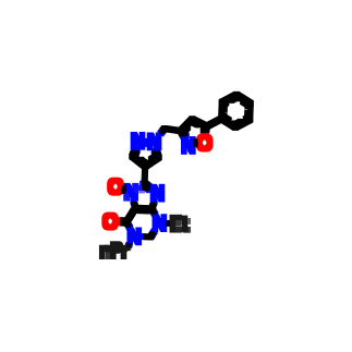 CCCN1CN(CC)C2=C(C1=O)[N+](=O)C(c1cnn(Cc3cc(-c4ccccc4)on3)c1)=N2